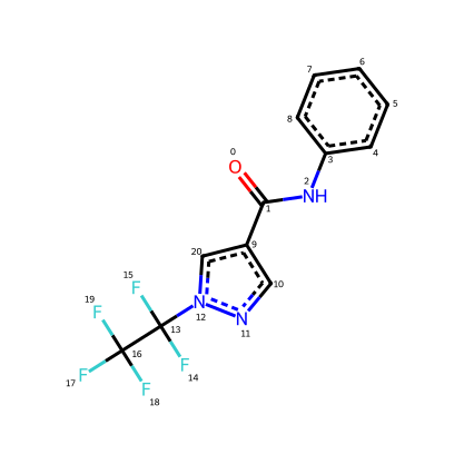 O=C(Nc1ccccc1)c1cnn(C(F)(F)C(F)(F)F)c1